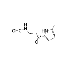 CC1=CCC=C([S+]([O-])CCNC=O)N1